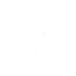 CC(=O)O[C@H]1C[C@@H]2CC[C@@H]3[C@H](CC[C@@]4(C)[C@H]3C[C@H](N3CC[N+](C)(C)CC3)[C@@H]4OC(C)=O)[C@@]2(C)C[C@@H]1N1CCC(=O)CC1